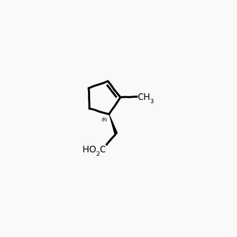 CC1=CCC[C@@H]1CC(=O)O